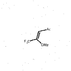 CO/C(=C\C(C)=O)C(F)(F)F